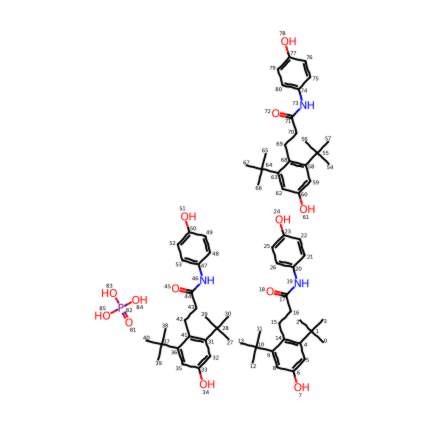 CC(C)(C)c1cc(O)cc(C(C)(C)C)c1CCC(=O)Nc1ccc(O)cc1.CC(C)(C)c1cc(O)cc(C(C)(C)C)c1CCC(=O)Nc1ccc(O)cc1.CC(C)(C)c1cc(O)cc(C(C)(C)C)c1CCC(=O)Nc1ccc(O)cc1.O=P(O)(O)O